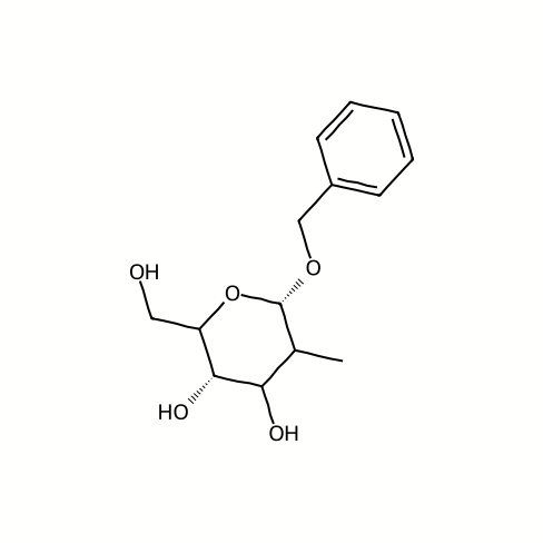 CC1C(O)[C@H](O)C(CO)O[C@@H]1OCc1ccccc1